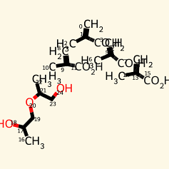 C=C(C)C(=O)O.C=C(C)C(=O)O.C=C(C)C(=O)O.C=C(C)C(=O)O.CC(O)COC(C)CO